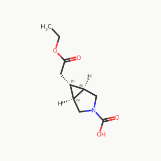 CCOC(=O)C[C@@H]1[C@H]2CN(C(=O)O)C[C@@H]12